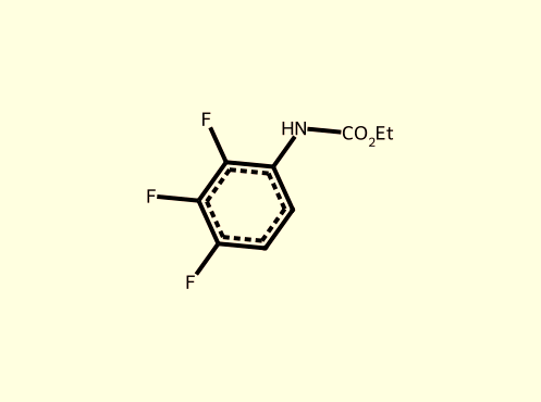 CCOC(=O)Nc1ccc(F)c(F)c1F